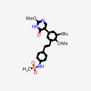 COc1ncc(-c2cc(C=Cc3ccc(NS(C)(=O)=O)cc3)c(OC)c(C(C)(C)C)c2)c(=O)[nH]1